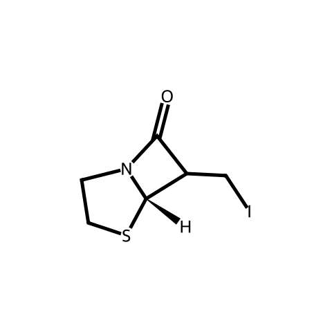 O=C1C(CI)[C@@H]2SCCN12